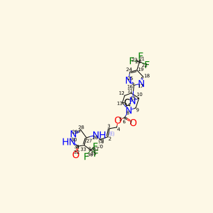 C[C@@H](/C=C/COC(=O)N1CC2CCC1CN2c1ncc(C(F)(F)F)cn1)Nc1cn[nH]c(=O)c1C(F)(F)F